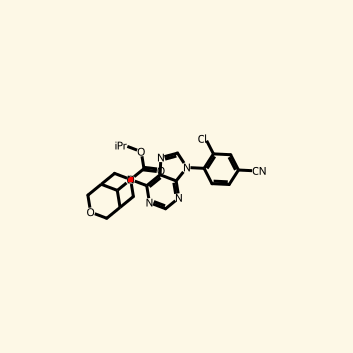 CC(C)OC(=O)N1CC2COCC(C1)C2Oc1ncnc2c1ncn2-c1ccc(C#N)cc1Cl